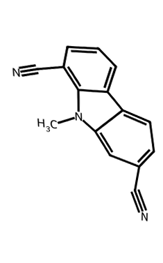 Cn1c2cc(C#N)ccc2c2cccc(C#N)c21